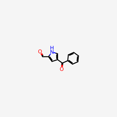 O=Cc1cc(C(=O)c2ccccc2)c[nH]1